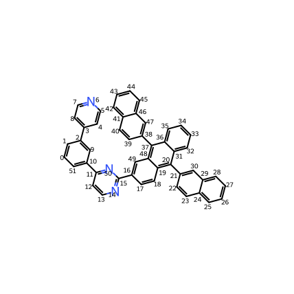 c1cc(-c2ccncc2)cc(-c2ccnc(-c3ccc4c(-c5ccc6ccccc6c5)c5ccccc5c(-c5ccc6ccccc6c5)c4c3)n2)c1